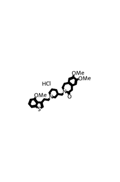 COc1cc2c(cc1OC)CC(=O)N(CC1CCCN(CCc3csc4cccc(OC)c34)C1)CC2.Cl